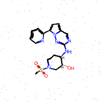 CS(=O)(=O)N1CC[C@@H](Nc2ncc3ccc(-c4ccccn4)n3n2)[C@H](O)C1